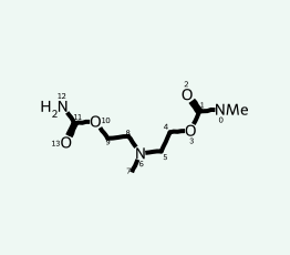 CNC(=O)OCCN(C)CCOC(N)=O